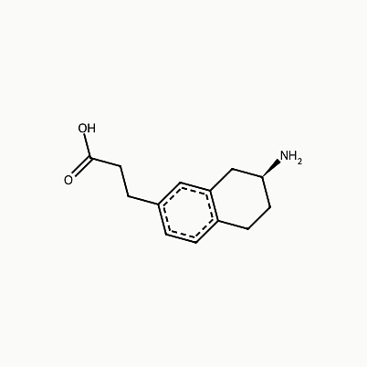 N[C@H]1CCc2ccc(CCC(=O)O)cc2C1